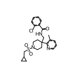 Cc1cccnc1C1(CNC(=O)c2ccccc2Cl)CCN(S(=O)(=O)CC2CC2)CC1